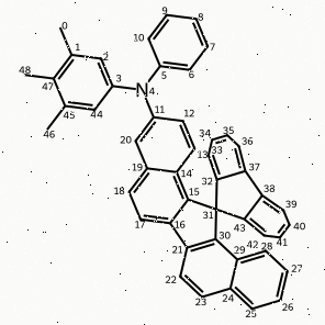 Cc1cc(N(c2ccccc2)c2ccc3c4c(ccc3c2)-c2ccc3ccccc3c2C42c3ccccc3-c3ccccc32)cc(C)c1C